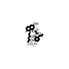 C=CCc1ccccc1OC(CC)C(=O)O[C@H]1C[C@H](O)C=C2C=C[C@H](C)[C@H](CC[C@@H](O)C[C@@H](O)CC(=O)O)[C@H]21